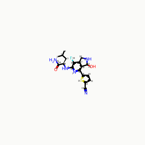 CC(C)C[C@@H](Nc1nc(-c2ccc(C#N)s2)c2c(c1F)CNC2O)C(N)=O